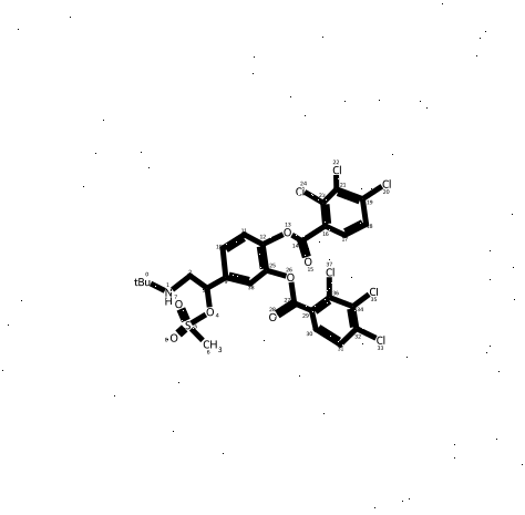 CC(C)(C)NCC(OS(C)(=O)=O)c1ccc(OC(=O)c2ccc(Cl)c(Cl)c2Cl)c(OC(=O)c2ccc(Cl)c(Cl)c2Cl)c1